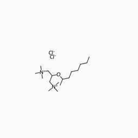 CCCCCCC(C)OC(C[N+](C)(C)C)C[N+](C)(C)C.[Cl-].[Cl-]